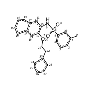 Cc1cccc(S(=O)(=O)Nc2nc3ccccc3nc2OCCc2ccccc2)c1